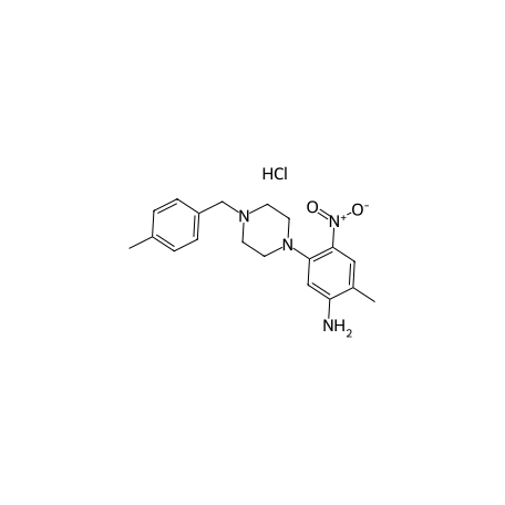 Cc1ccc(CN2CCN(c3cc(N)c(C)cc3[N+](=O)[O-])CC2)cc1.Cl